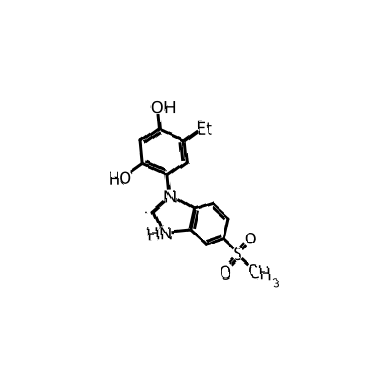 CCc1cc(N2[CH]Nc3cc(S(C)(=O)=O)ccc32)c(O)cc1O